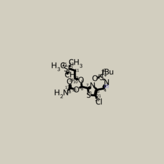 CC(C)(C)[S@+]([O-])/N=C\c1nc(C(OCC[Si](C)(C)C)OC(N)=O)sc1Cl